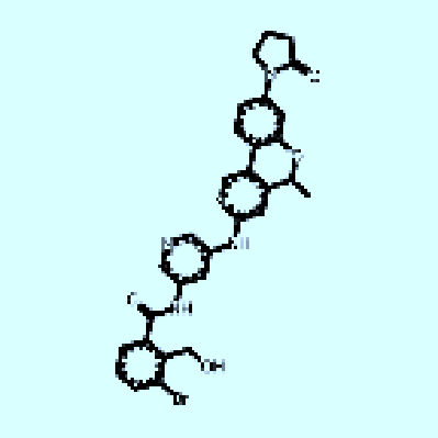 CC1Oc2cc(N3CCCC3=O)ccc2-c2cnc(Nc3cncc(NC(=O)c4cccc(Br)c4CO)c3)cc21